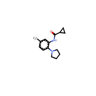 O=C(Nc1cc(C(F)(F)F)ccc1N1CCCC1)C1CC1